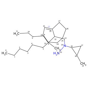 CCCCCCC(C)(CCCC)C(CN(N)C1CC1C)/C1=C\CCCCCC1